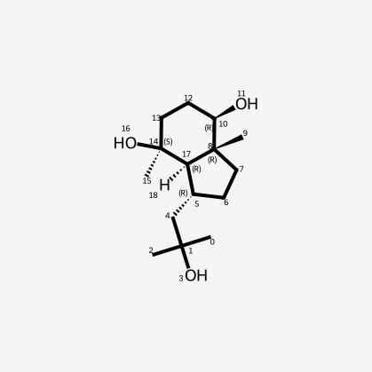 CC(C)(O)C[C@H]1CC[C@@]2(C)[C@H](O)CC[C@](C)(O)[C@H]12